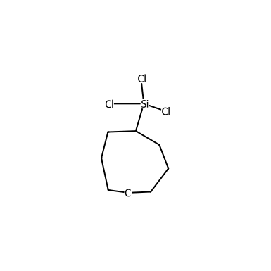 Cl[Si](Cl)(Cl)C1CCCCCCC1